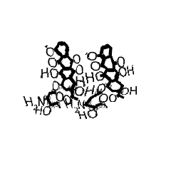 COc1cccc2c1C(=O)c1c(O)c3c(c(O)c1C2=O)C[C@@](O)(C(C)=O)C[C@@H]3O[C@H]1C[C@H](N)[C@H](O)[C@H](C)O1.COc1cccc2c1C(=O)c1c(O)c3c(c(O)c1C2=O)C[C@@](O)(C(C)=O)C[C@@H]3O[C@H]1C[C@H](N)[C@H](O)[C@H](C)O1